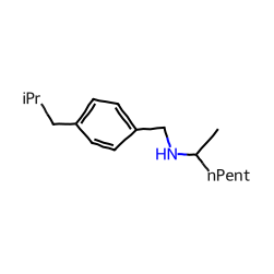 CCCCCC(C)NCc1ccc(CC(C)C)cc1